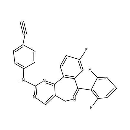 C#Cc1ccc(Nc2ncc3c(n2)-c2ccc(F)cc2C(c2c(F)cccc2F)=NC3)cc1